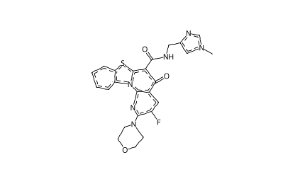 Cn1cnc(CNC(=O)c2c(=O)c3cc(F)c(N4CCOCC4)nc3n3c2sc2ccccc23)c1